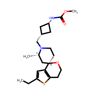 CCc1cc2c(s1)CCO[C@@]21CCN(C[C@H]2C[C@@H](NC(=O)OC)C2)[C@@H](C)C1